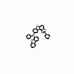 c1ccc(-c2nc3c(ccc4oc5ccc(N(c6ccccc6)c6cccc7c6sc6ccccc67)cc5c43)s2)cc1